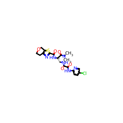 CN(C)C(=O)[C@H](CNC(=O)C(=O)Nc1ccc(Cl)cn1)NC(=O)c1nc2c(s1)COCC2